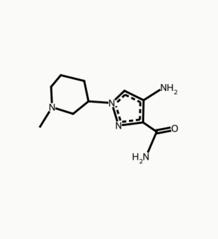 CN1CCCC(n2cc(N)c(C(N)=O)n2)C1